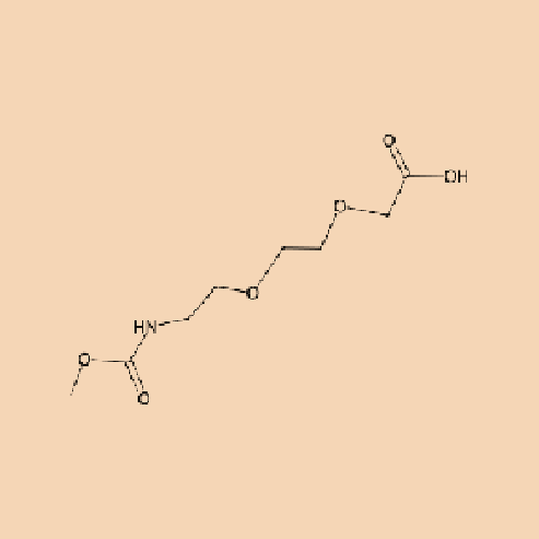 COC(=O)NCCOCCOCC(=O)O